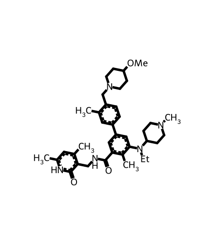 CCN(c1cc(-c2ccc(CN3CCC(OC)CC3)c(C)c2)cc(C(=O)NCc2c(C)cc(C)[nH]c2=O)c1C)C1CCN(C)CC1